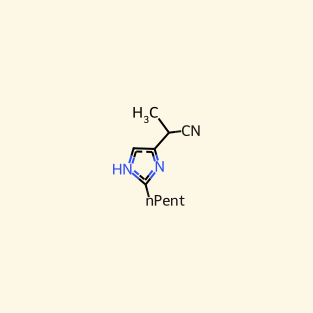 CCCCCc1nc(C(C)C#N)c[nH]1